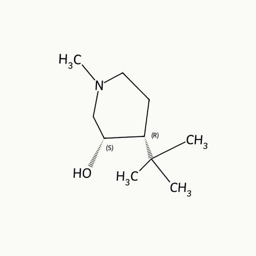 CN1CC[C@H](C(C)(C)C)[C@H](O)C1